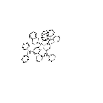 c1ccc(N(c2ccccc2)c2ccc3c(c2)C(c2ccc4ccccc4c2)(c2ccc4ccccc4c2)c2c-3c(N(c3ccccc3)c3ccccc3)cc3c4ccccc4n(-c4ccccc4)c23)cc1